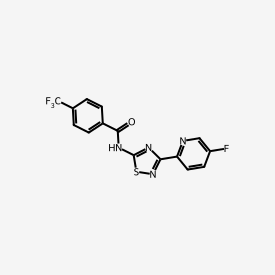 O=C(Nc1nc(-c2ccc(F)cn2)ns1)c1ccc(C(F)(F)F)cc1